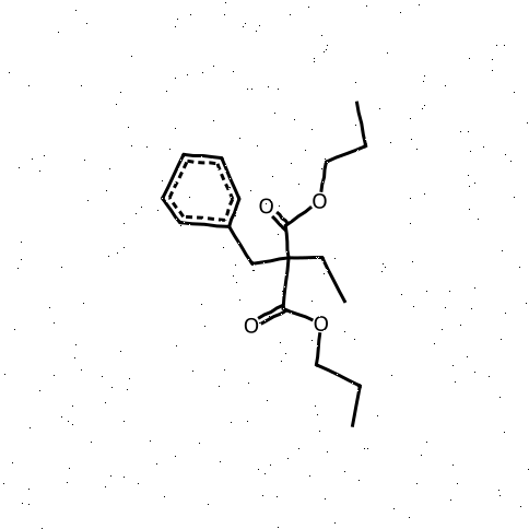 CCCOC(=O)C(CC)(Cc1ccccc1)C(=O)OCCC